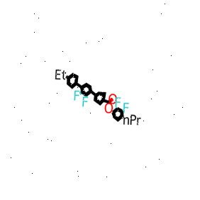 CCCc1ccc(OC(=O)c2ccc(-c3ccc(-c4ccc(CC)cc4)c(F)c3F)cc2)c(F)c1F